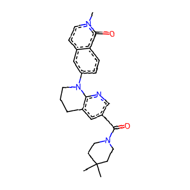 Cn1ccc2cc(N3CCCc4cc(C(=O)N5CCC(C)(C)CC5)cnc43)ccc2c1=O